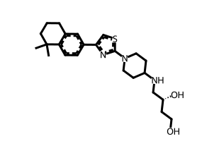 CC1(C)CCCc2cc(-c3csc(N4CCC(NC[C@H](O)CCO)CC4)n3)ccc21